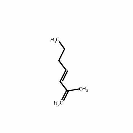 C=C(C)C=CCCC